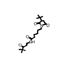 CC(C)(C)C(=O)CCNC(=O)CCCCCN1C(=O)CC(C(C)(C)C)C1=O